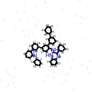 c1ccc(Nc2ccccc2-c2cccc(-c3ccc(NC4Nc5ccccc5N=C4c4ccccc4)c(-c4cccc(-c5ccccc5)c4)c3)c2)cc1